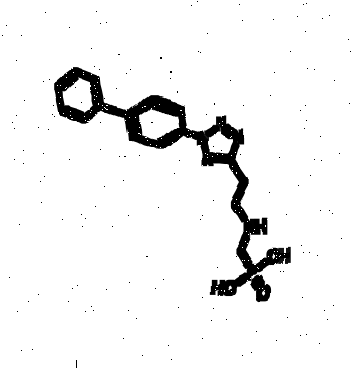 O=P(O)(O)CNCCc1nnn(-c2ccc(-c3ccccc3)cc2)n1